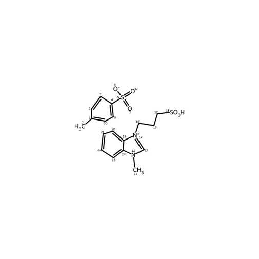 Cc1ccc(S(=O)(=O)[O-])cc1.Cn1c[n+](CCCS(=O)(=O)O)c2ccccc21